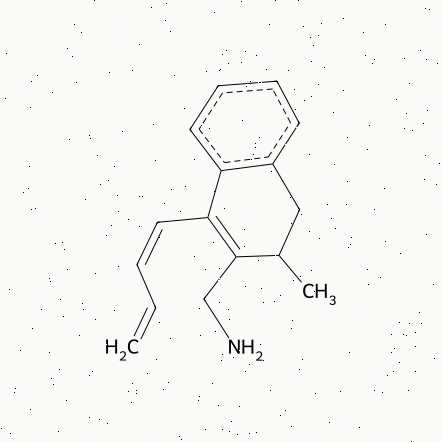 C=C/C=C\C1=C(CN)C(C)Cc2ccccc21